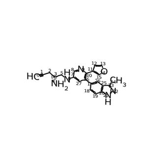 C#CC[C@@H](N)CNc1cnc(-c2ccoc2)c(-c2ccc3[nH]nc(C)c3c2)c1